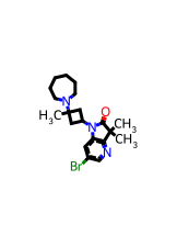 CC1(C)C(=O)N(C2CC(C)(N3CCCCCC3)C2)c2cc(Br)cnc21